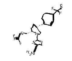 Nc1cnc(N2C[C@@H](c3ccc(C(F)(F)F)cc3)CC[C@H]2COC(F)F)s1